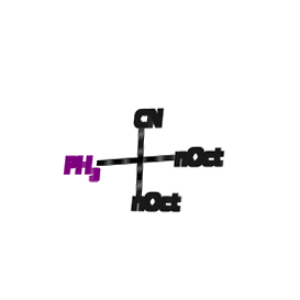 CCCCCCCCC(C)(C#N)CCCCCCCC.P